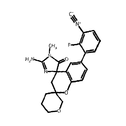 [C-]#[N+]c1cccc(-c2ccc3c(c2)C2(CC4(CCCOC4)O3)N=C(N)N(C)C2=O)c1F